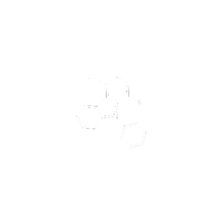 Clc1ccc(Br)c2c1c1ccccc1n2-c1ccccc1